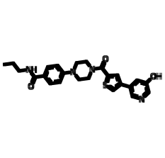 CCCNC(=O)c1ccc(N2CCN(C(=O)c3cc(-c4cncc(O)c4)cs3)CC2)cc1